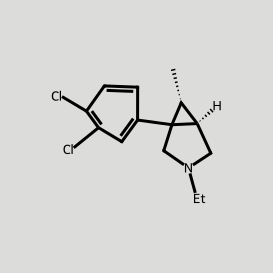 CCN1C[C@@H]2[C@@H](C)C2(c2ccc(Cl)c(Cl)c2)C1